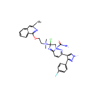 CCCCc1cc2ccccc2c(OCC[N+](C)(C)C2(Cl)C[N+]3(C(N)=O)N=C(c4cn(C)nc4-c4ccc(F)cc4)C=CC3=N2)n1